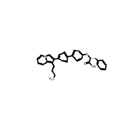 CCCCc1c(-c2ccc(-c3ccc(O[C@H](Cc4ccccc4)C(=O)O)cc3)cc2)cn2ccccc12